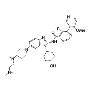 COc1ccncc1-c1nccc(C(=O)Nc2nc3ccc(N4CCC(N(C)CCN(C)C)CC4)cc3n2[C@H]2CC[C@@H](O)CC2)c1F